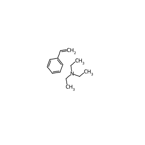 C=Cc1ccccc1.CCN(CC)CC